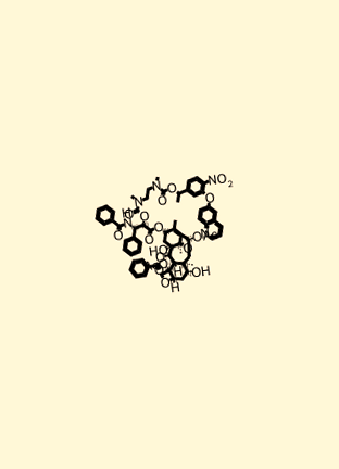 CC(=O)O[C@H]1C2=C(C)[C@H](OC(=O)[C@H](OC(=O)N(C)CCN(C)C(=O)OC(C)c3ccc([N+](=O)[O-])c(Oc4ccc5ncccc5c4)c3)[C@@H](NC(=O)c3ccccc3)c3ccccc3)C[C@]3(O)[C@H](OC(=O)c4ccccc4)[C@H]4[C@@]5(OC(C)=O)CO[C@H]5C[C@@H](O)[C@]4(C)C1O[C@]23C